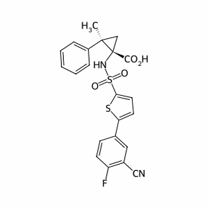 C[C@]1(c2ccccc2)C[C@@]1(NS(=O)(=O)c1ccc(-c2ccc(F)c(C#N)c2)s1)C(=O)O